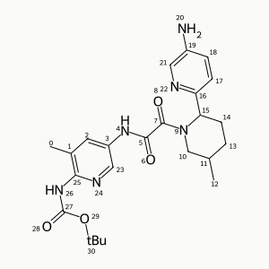 Cc1cc(NC(=O)C(=O)N2CC(C)CCC2c2ccc(N)cn2)cnc1NC(=O)OC(C)(C)C